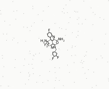 Cc1c(-c2c(C(N)=O)nc3cc(F)ccc3c2C(N)=O)c(C(F)(F)F)nn1Cc1ccc(F)c(F)c1